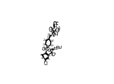 CC(C)(C)OC(=O)c1cc(Cl)ccc1S(=O)(=O)N1CCC(CNS(=O)(=O)C(F)(F)F)CC1